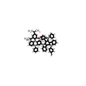 CC(C)c1cc(C(C)C)c(B2c3ccccc3N(c3ccccc3)c3cc(-n4c5ccccc5c5c6c(c7ccccc7n6-c6ccc(F)cc6)c6c(c7ccccc7n6-c6ccccc6)c54)ccc32)c(C(C)C)c1